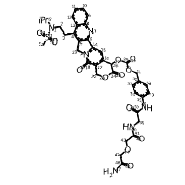 CC(C)N(CCc1c2c(nc3ccccc13)-c1cc3c(c(=O)n1C2)COC(=O)C3OC(=O)OCc1ccc(NC(=O)CNC(=O)COCC(N)=O)cc1)S(C)(=O)=O